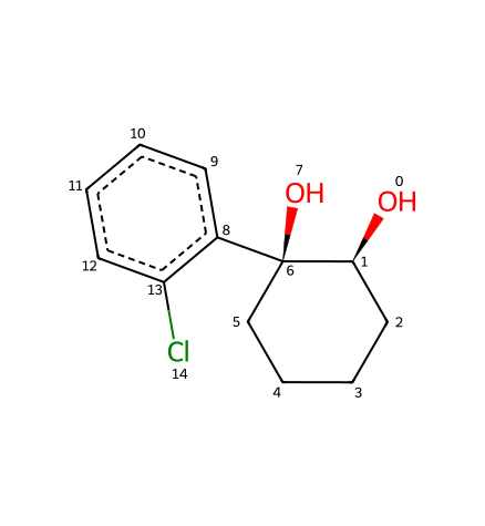 O[C@H]1CCCC[C@]1(O)c1ccccc1Cl